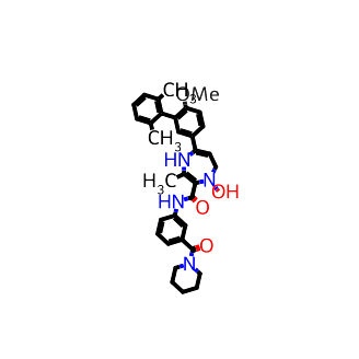 COc1ccc(C2=CCN(O)C(C(=O)Nc3cccc(C(=O)N4CCCCC4)c3)=C(C)N2)cc1-c1c(C)cccc1C